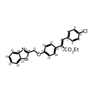 CCOC(=O)C(=Cc1ccc(Cl)cc1)c1ccc(OCc2nc3ccccc3s2)cc1